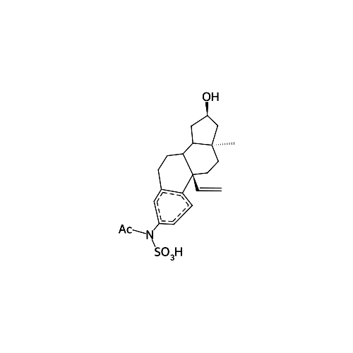 C=C[C@]12CC[C@]3(C)C[C@H](O)CC3C1CCc1cc(N(C(C)=O)S(=O)(=O)O)ccc12